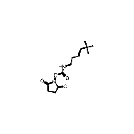 CC(C)(C)CCCCNC(=O)ON1C(=O)CCC1=O